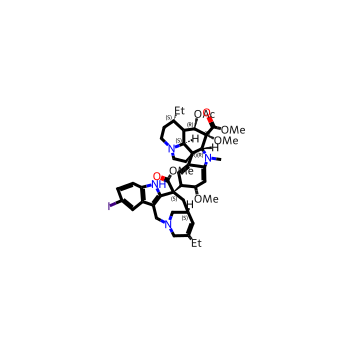 CCC1=C[C@H]2CN(C1)Cc1c([nH]c3ccc(I)cc13)[C@@](C(=O)OC)(C1C=C3C(=CC1OC)N(C)[C@@H]1[C@]34CCN3CC[C@H](CC)C([C@H]34)[C@@H](OC(C)=O)[C@]1(OC)C(=O)OC)C2